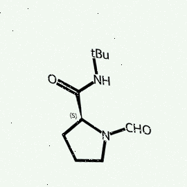 CC(C)(C)NC(=O)[C@@H]1CCCN1C=O